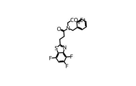 CCOC(=O)CN(Cc1ccccc1)C(=O)CCc1nc2c(F)c(F)cc(F)c2s1